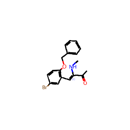 CN/C(=C\c1cc(Br)ccc1OCc1ccccc1)C(C)=O